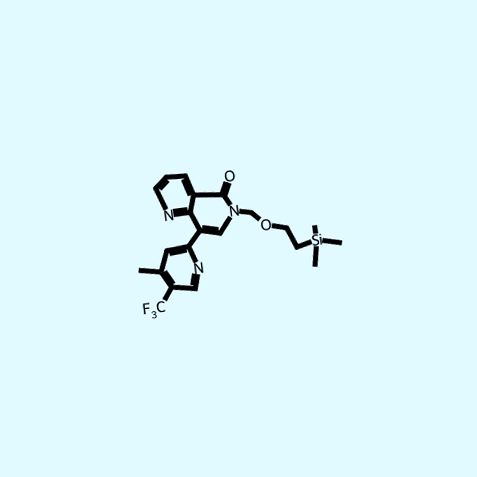 Cc1cc(-c2cn(COCC[Si](C)(C)C)c(=O)c3cccnc23)ncc1C(F)(F)F